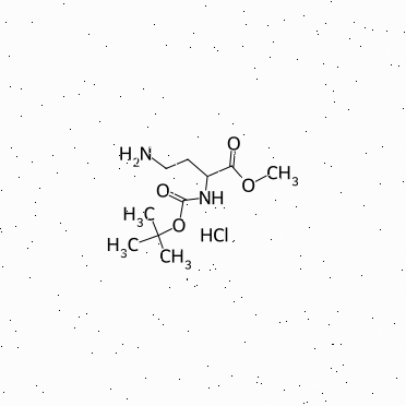 COC(=O)C(CCN)NC(=O)OC(C)(C)C.Cl